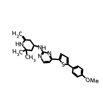 C=C1CC(Nc2nccc(-c3ccc(-c4ccc(OC)cc4)s3)n2)CC(C)(C)N1